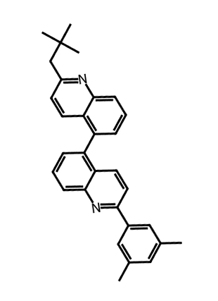 Cc1cc(C)cc(-c2ccc3c(-c4cccc5nc(CC(C)(C)C)ccc45)cccc3n2)c1